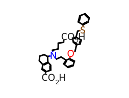 O=C(O)CCCCN(CCc1ccccc1OCc1ccc(CSc2ccccc2)cc1)C1CCCc2cc(C(=O)O)ccc21